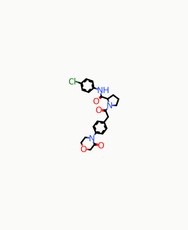 O=C(Nc1ccc(Cl)cc1)C1CCCN1C(=O)Cc1ccc(N2CCOCC2=O)cc1